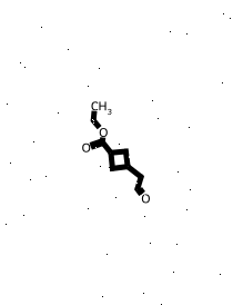 CCOC(=O)C1CC(CC=O)C1